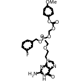 COc1ccc(OC(=O)OCOP(=O)(COCCn2cnc3c(=O)[nH]c(N)nc32)OCc2cccc(F)c2)cc1